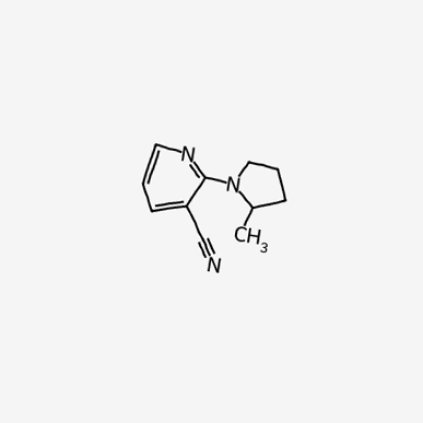 CC1CCCN1c1ncccc1C#N